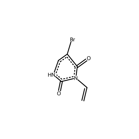 C=Cn1c(=O)[nH]cc(Br)c1=O